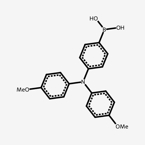 COc1ccc(N(c2ccc(OC)cc2)c2ccc(B(O)O)cc2)cc1